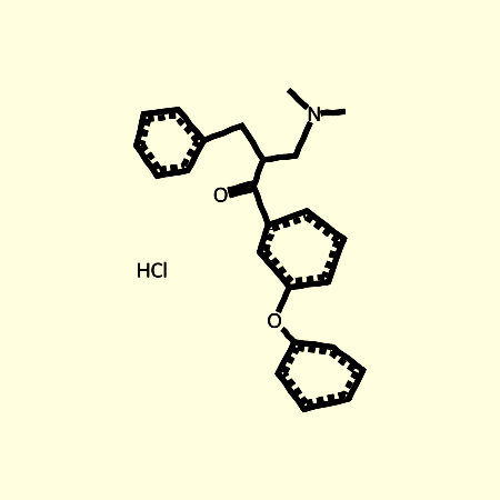 CN(C)CC(Cc1ccccc1)C(=O)c1cccc(Oc2ccccc2)c1.Cl